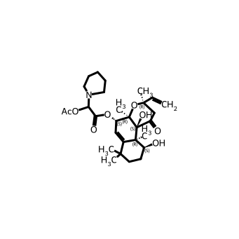 C=C[C@@]1(C)CC(=O)[C@@]2(O)[C@](C)(O1)[C@@H](OC(=O)C(OC(C)=O)N1CCCCC1)C=C1C(C)(C)CC[C@H](O)[C@@]12C